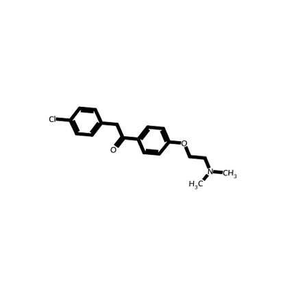 CN(C)CCOc1ccc(C(=O)Cc2ccc(Cl)cc2)cc1